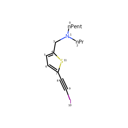 CCCCCN(CCC)Cc1ccc(C#CI)s1